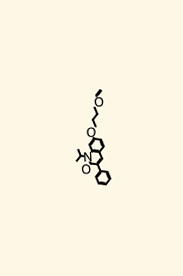 C=COCCCCOc1ccc2cc(-c3ccccc3)c(=O)n(C(C)C)c2c1